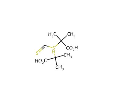 CC(C)(C(=O)O)[SH](C=S)C(C)(C)C(=O)O